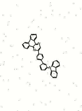 c1cc(-c2ccc(-c3cnc4c5ccccc5c5ccccc5c4n3)cc2)cc(-n2c3ccccc3c3ccccc32)c1